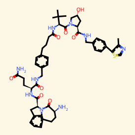 Cc1ncsc1-c1ccc(CNC(=O)[C@@H]2C[C@@H](O)CN2C(=O)[C@@H](NC(=O)CCCc2ccc(CNC(=O)[C@H](CCC(N)=O)NC(=O)[C@@H]3Cc4cccc5c4N3C(=O)[C@@H](N)CC5)cc2)C(C)(C)C)cc1